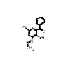 CCCc1c(N=NC)cc(Cl)nc1C(=O)c1ccccc1